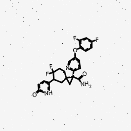 NC(=O)C1(c2ccc(Oc3ccc(F)cc3F)cn2)CC12CCC(F)(F)C(c1ccc(=O)[nH]c1)C2